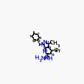 Cc1nn(Cc2ccccc2)c2nc(NN)cc(C(C)C)c12